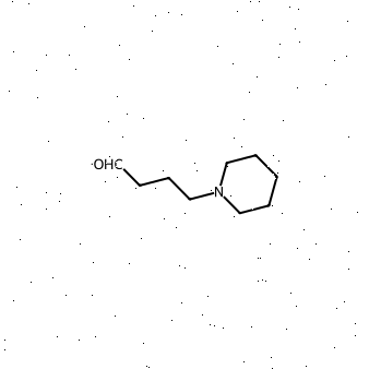 O=[C]CCCN1CCCCC1